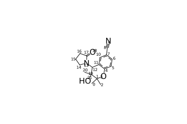 CC1(C)Oc2ccc(C#N)cc2C(N2CCCC2=O)C1(C)O